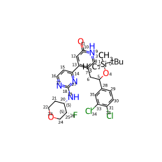 CC(C)(C)[Si](C)(C)OC(Cc1c[nH]c(=O)cc1-c1ccnc(N[C@H]2CCOC[C@H]2F)n1)c1ccc(Cl)c(Cl)c1